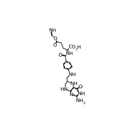 N=COC(=O)CC[C@H](NC(=O)c1ccc(NCC2CNc3nc(N)[nH]c(=O)c3N2)cc1)C(=O)O